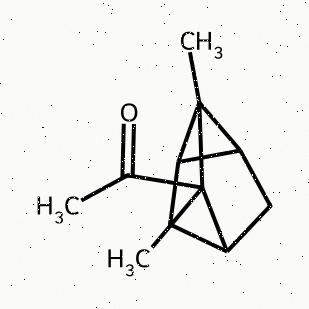 CC(=O)C1(C)C2CC3C(C2)C31C